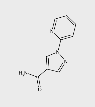 NC(=O)c1cnn(-c2ccccn2)c1